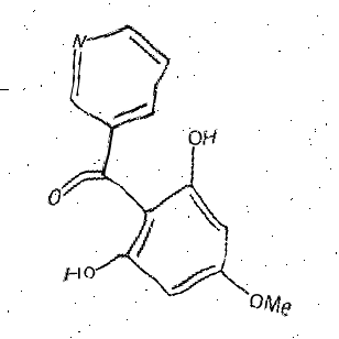 COc1cc(O)c(C(=O)c2cccnc2)c(O)c1